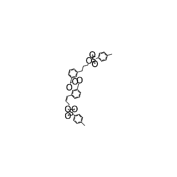 Cc1ccc(S(=O)(=O)OC/C=C\c2cccc3c2OC2OC3Oc3c(CCCOS(=O)(=O)c4ccc(C)cc4)cccc32)cc1